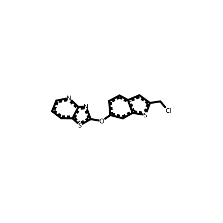 ClCc1cc2ccc(Oc3nc4ncccc4s3)cc2s1